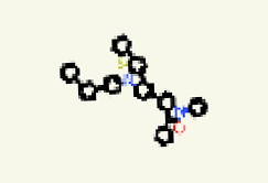 c1ccc(-c2cccc(-c3ccc(-n4c5ccc(-c6ccc7c(c6)c6c8ccccc8oc6n7-c6ccccc6)cc5c5ccc6c7ccccc7sc6c54)cc3)c2)cc1